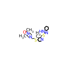 CC(=O)N1CCN(CCSc2ccnc(CSc3nc4ccccc4[nH]3)c2C)CC1C